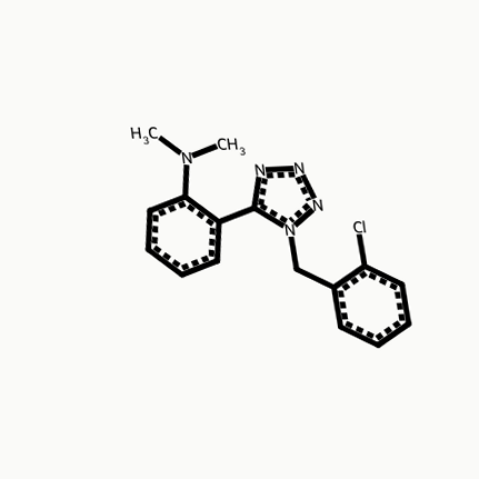 CN(C)c1ccccc1-c1nnnn1Cc1ccccc1Cl